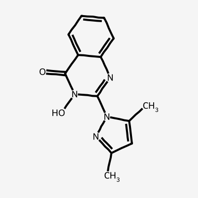 Cc1cc(C)n(-c2nc3ccccc3c(=O)n2O)n1